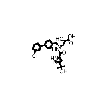 CC(C)(O)c1cc(C(=O)NN(Cc2ccc(-c3cccc(Cl)c3)cc2)CC(O)C(=O)O)[nH]n1